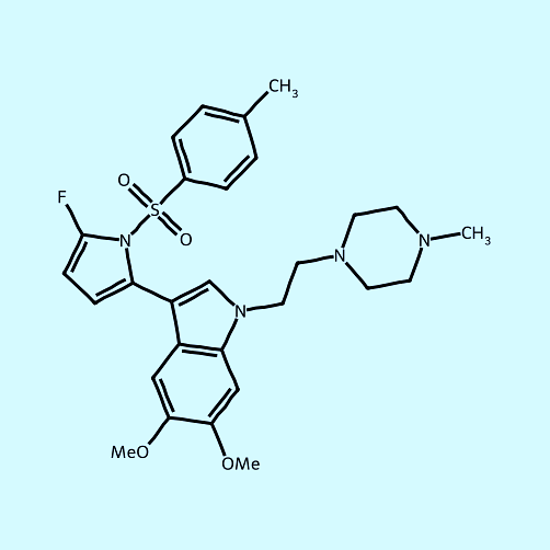 COc1cc2c(-c3ccc(F)n3S(=O)(=O)c3ccc(C)cc3)cn(CCN3CCN(C)CC3)c2cc1OC